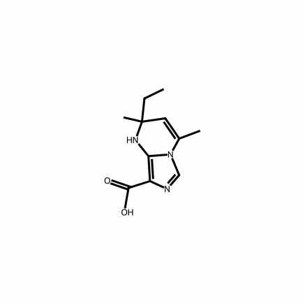 CCC1(C)C=C(C)n2cnc(C(=O)O)c2N1